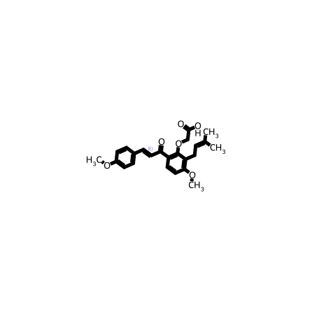 COc1ccc(/C=C/C(=O)c2ccc(OC)c(CC=C(C)C)c2OCC(=O)O)cc1